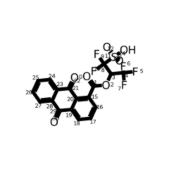 O=C(OC(C(F)(F)F)C(F)(F)S(=O)(=O)O)c1cccc2c1C(=O)c1ccccc1C2=O